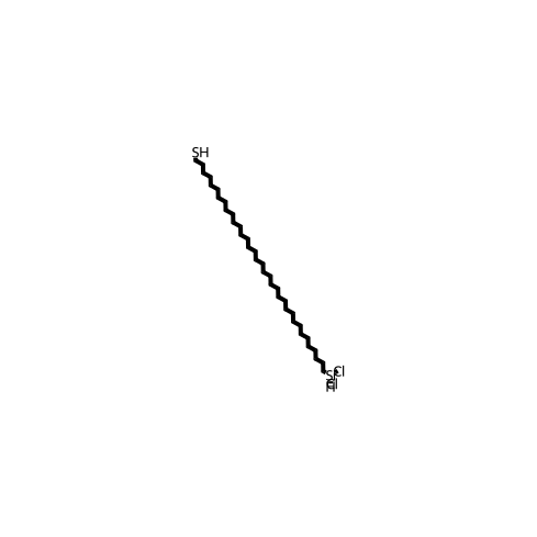 SCCCCCCCCCCCCCCCCCCCCCCCCCCCCCCCCCCC[SiH](Cl)Cl